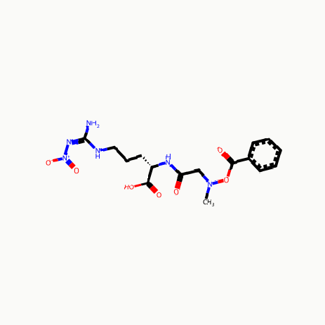 CN(CC(=O)N[C@@H](CCCN/C(N)=N\[N+](=O)[O-])C(=O)O)OC(=O)c1ccccc1